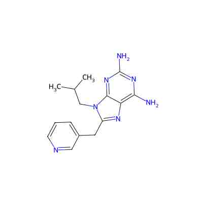 CC(C)Cn1c(Cc2cccnc2)nc2c(N)nc(N)nc21